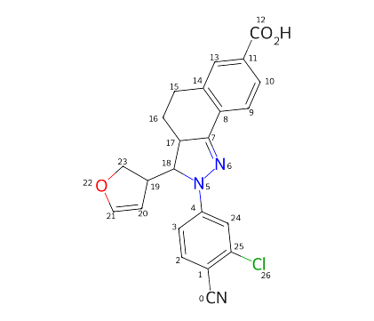 N#Cc1ccc(N2N=C3c4ccc(C(=O)O)cc4CCC3C2C2C=COC2)cc1Cl